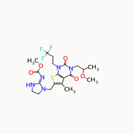 COC(=O)N=C1NCCN1Cc1sc2c(c1C)c(=O)n(CC(C)OC)c(=O)n2CCC(F)(F)F